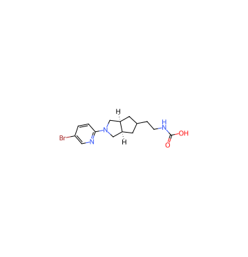 O=C(O)NCCC1C[C@@H]2CN(c3ccc(Br)cn3)C[C@@H]2C1